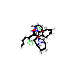 C=C/C=C\C(Cl)=C(/C)C(c1ccccc1Cl)N1C2CCC1CC(c1ccccn1)C2